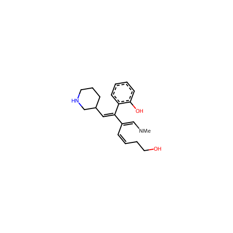 CN/C=C(\C=C/CCO)C(=C/C1CCCNC1)/c1ccccc1O